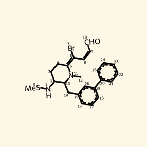 CSNC1CC/C(=C(Br)/C=C\C=O)N(C)C1Cc1cccc(-c2ccccc2)c1